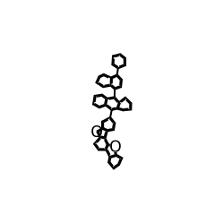 c1ccc(-c2ccc(-c3c4ccccc4c(-c4ccc5c(c4)oc4ccc6c7ccccc7oc6c45)c4ccccc34)c3ccccc23)cc1